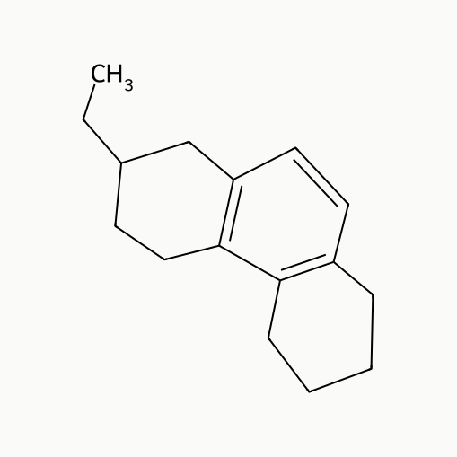 CCC1CCc2c(ccc3c2CCCC3)C1